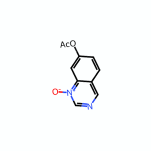 CC(=O)Oc1ccc2cnc[n+]([O-])c2c1